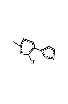 Cc1ccc(-n2cccn2)c(C(F)(F)F)c1